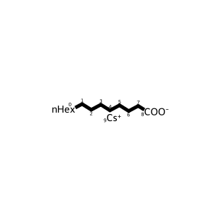 CCCCCCCCCCCCCC(=O)[O-].[Cs+]